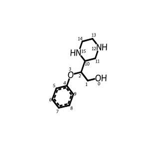 OCC(Oc1ccccc1)C1CNCCN1